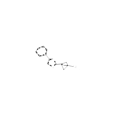 NC12CC(c3ncc(-c4ccccc4)s3)(C1)C2